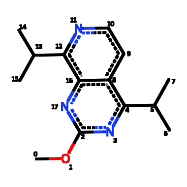 COc1nc(C(C)C)c2ccnc(C(C)C)c2n1